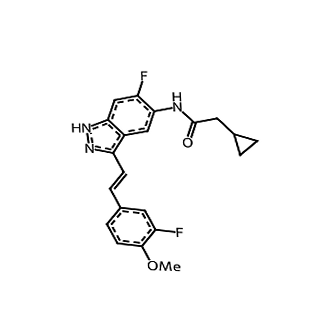 COc1ccc(/C=C/c2n[nH]c3cc(F)c(NC(=O)CC4CC4)cc23)cc1F